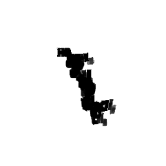 Cc1ccc(C(=O)NCc2cc3nc(-c4cccc(N5C[C@@H](C)O[C@@H](C)C5)n4)ccc3cn2)cc1S(=N)(=O)CCO